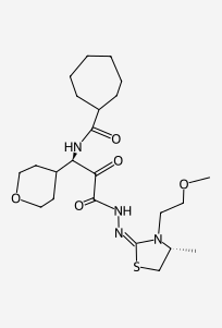 COCCN1C(=NNC(=O)C(=O)[C@H](NC(=O)C2CCCCCC2)C2CCOCC2)SC[C@H]1C